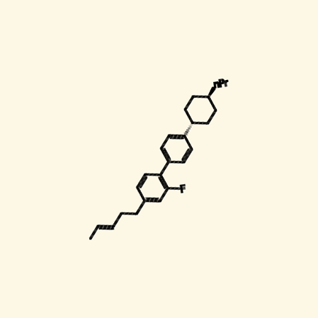 CC=CCCc1ccc(-c2ccc([C@H]3CC[C@H](CCC)CC3)cc2)c(F)c1